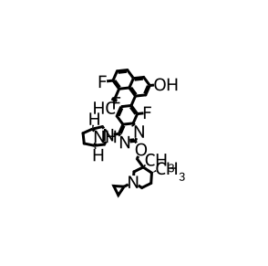 C#Cc1c(F)ccc2cc(O)cc(-c3c(F)cc4c(N5C[C@H]6CC[C@@H](C5)N6)nc(OC[C@]5(C)CN(C6CC6)CC[C@H]5C)nc4c3F)c12